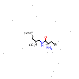 CCC[C@@H](C)CCC(CNC(=O)[C@@H](N)CC(C)C)C(=O)O